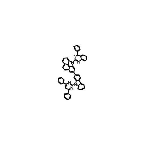 c1ccc(-c2cc(-c3ccccc3)nc(-n3c4ccccc4c4ccc(-c5cc6ccc7cccc8c7c6c(c5)n8-c5nc(-c6ccccc6)c6ccccc6n5)cc43)n2)cc1